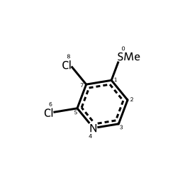 CSc1ccnc(Cl)c1Cl